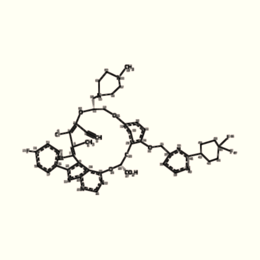 C#C/C1=C(Cl)\C(C)=C(/CC)c2c(-c3ccc(F)cc3)sc3ncnc(c23)O[C@@H](C(=O)O)Cc2cc(ccc2OCc2ccnc(C3CCC(F)(F)CC3)n2)OC[C@@H](CN2CCN(C)CC2)O1